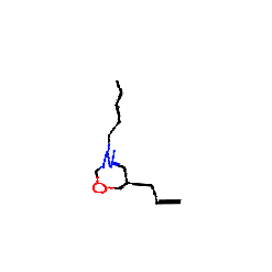 C=CCC1COCN(CCCCC)C1